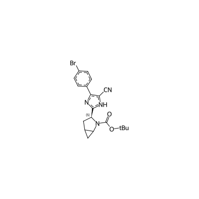 CC(C)(C)OC(=O)N1C2CC2C[C@H]1c1nc(-c2ccc(Br)cc2)c(C#N)[nH]1